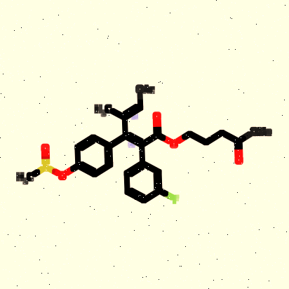 COC(=O)CCCOC(=O)/C(=C(\C(C)=C\OC(C)=O)c1ccc(OS(C)=O)cc1)c1cccc(F)c1